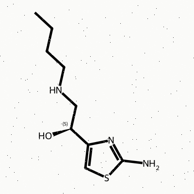 CCCCNC[C@H](O)c1csc(N)n1